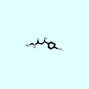 Cc1ccc(C(CC(=O)NCC#N)C(C)C)cc1